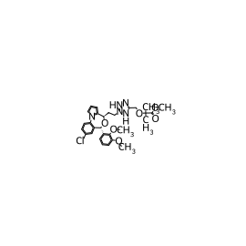 COC(=O)C(C)(C)OCC1=NNN(CC[C@H]2O[C@H](c3cccc(OC)c3OC)c3cc(Cl)ccc3-n3cccc32)N1